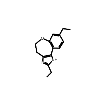 CCc1ccc2c(c1)OCCc1nc(CC)[nH]c1-2